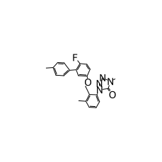 Cc1ccc(-c2cc(OCc3c(C)cccc3-n3nnn(C)c3=O)ccc2F)cc1